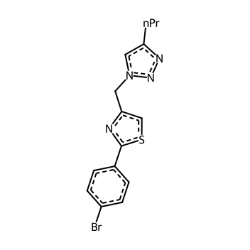 CCCc1cn(Cc2csc(-c3ccc(Br)cc3)n2)nn1